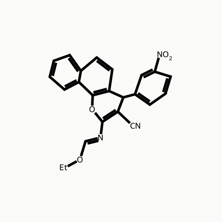 CCOC=NC1=C(C#N)C(c2cccc([N+](=O)[O-])c2)c2ccc3ccccc3c2O1